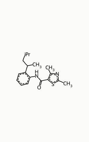 Cc1nc(C)c(C(=O)Nc2ccccc2C(C)CC(C)C)s1